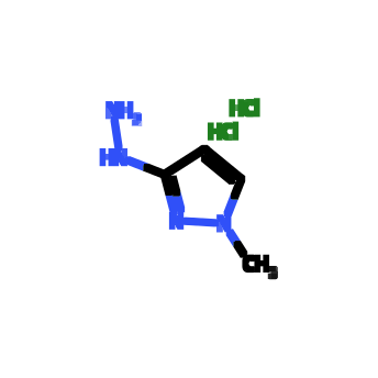 Cl.Cl.Cn1ccc(NN)n1